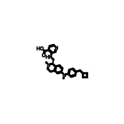 CN(c1ccc(CC2CCC2)cc1)c1ccc2c(c1)CCN(C)[C@H]2CNc1cnccc1C(=O)O